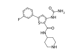 NC(=O)Nc1cc(-c2cccc(F)c2)sc1C(=O)NC1CCNCC1